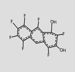 Oc1c(F)c(O)c2c(F)c3c(F)c(F)c(F)c(F)c3cc2c1F